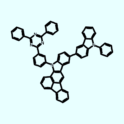 c1ccc(-c2nc(-c3ccccc3)nc(-c3cccc(-n4c5ccc(-c6ccc7c(c6)c6ccccc6n7-c6ccccc6)cc5c5cc6c7c(cccc7c54)-c4ccccc4-6)c3)n2)cc1